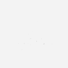 CCCC[CH2][Ge]([CH3])([CH2]CCCC)[O][Ge]([CH3])([CH3])[CH3]